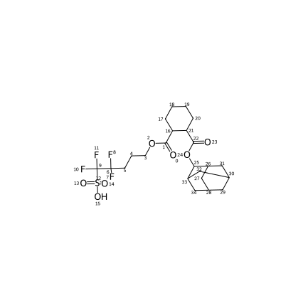 O=C(OCCCC(F)(F)C(F)(F)S(=O)(=O)O)C1CCCCC1C(=O)OC1C2CC3CC(C2)CC1C3